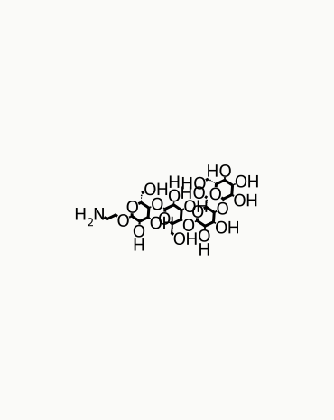 NCCO[C@H]1O[C@H](CO)[C@H](O[C@H]2O[C@H](CO)[C@@H](O[C@@H]3O[C@H](CO)[C@@H](O[C@@H]4O[C@H](CO)[C@@H](O)[C@H](O)[C@H]4O)[C@H](O)[C@H]3O)[C@H](O)[C@H]2O)[C@H](O)[C@H]1O